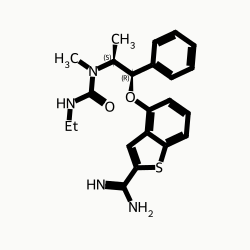 CCNC(=O)N(C)[C@@H](C)[C@H](Oc1cccc2sc(C(=N)N)cc12)c1ccccc1